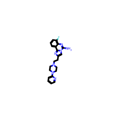 Nc1nc2c(F)cccc2c2nc(CCN3CCN(c4ccccn4)CC3)cn12